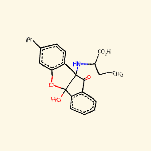 CC(C)c1ccc2c(c1)OC1(O)c3ccccc3C(=O)C21NC(CC=O)C(=O)O